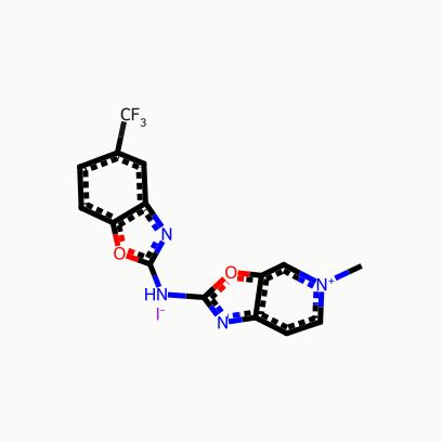 C[n+]1ccc2nc(Nc3nc4cc(C(F)(F)F)ccc4o3)oc2c1.[I-]